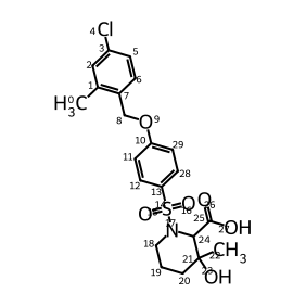 Cc1cc(Cl)ccc1COc1ccc(S(=O)(=O)N2CCCC(C)(O)C2C(=O)O)cc1